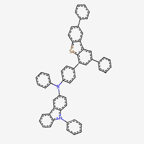 c1ccc(-c2ccc3sc4c(-c5ccc(N(c6ccccc6)c6ccc7c(c6)c6ccccc6n7-c6ccccc6)cc5)cc(-c5ccccc5)cc4c3c2)cc1